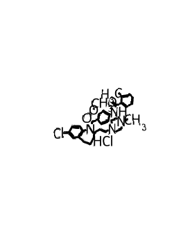 COc1cc(NC(=O)c2ccccc2C)ccc1C(=O)N1c2ccc(Cl)cc2CCCC1CCN1CCN(C)CC1.Cl